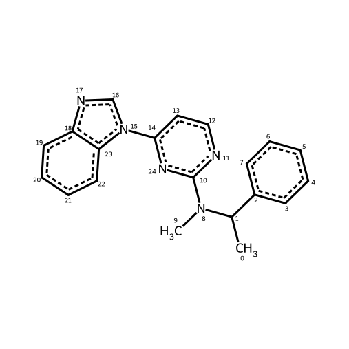 CC(c1ccccc1)N(C)c1nccc(-n2cnc3ccccc32)n1